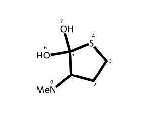 CNC1CCSC1(O)O